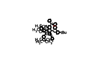 Cc1cc(N(c2ccccc2)c2ccccc2)cc2c1B(c1cc3c(cc1C(C)c1ccc4c(c1)C(C)(C)CC4(C)C)C(C)(C)CC3(C)C)c1ccc(-c3ccccc3)cc1C2CCc1ccc(C(C)(C)C)cc1-c1ccccc1